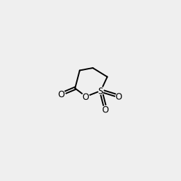 O=C1CCCS(=O)(=O)O1